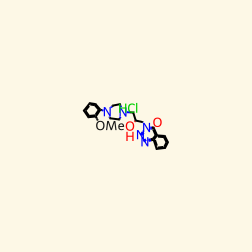 COc1ccccc1N1CCN(CC(O)Cn2nnc3ccccc3c2=O)CC1.Cl